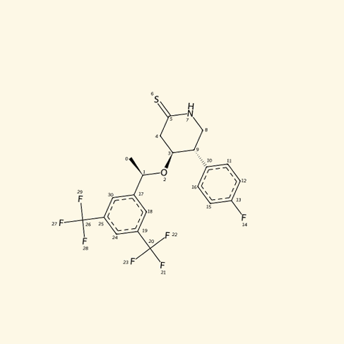 C[C@@H](O[C@H]1CC(=S)NC[C@@H]1c1ccc(F)cc1)c1cc(C(F)(F)F)cc(C(F)(F)F)c1